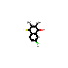 CC(C)C1=C(C(C)C)C(=S)c2ccc(Cl)cc2C1=O